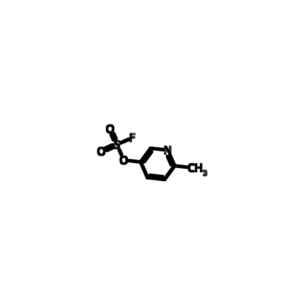 Cc1ccc(OS(=O)(=O)F)cn1